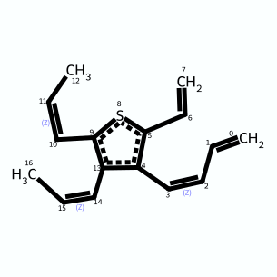 C=C/C=C\c1c(C=C)sc(/C=C\C)c1/C=C\C